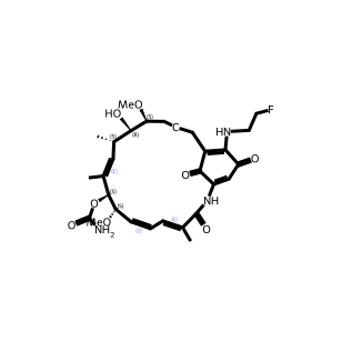 CO[C@H]1/C=C\C=C(/C)C(=O)NC2=CC(=O)C(NCCF)=C(CCC[C@H](OC)[C@H](O)[C@@H](C)/C=C(\C)[C@@H]1OC(N)=O)C2=O